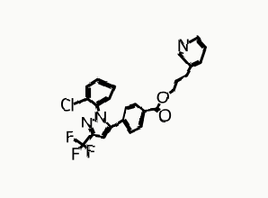 O=C(OCCCc1cccnc1)c1ccc(-c2cc(C(F)(F)F)nn2-c2ccccc2Cl)cc1